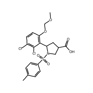 COCOc1ccc(Cl)c(Cl)c1C1CC(C(=O)O)CN1S(=O)(=O)c1ccc(C)cc1